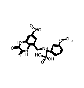 COc1cccc(C(NCc2cc([N+](=O)[O-])cc3[nH]c(=O)c(=O)[nH]c23)P(=O)(O)O)c1